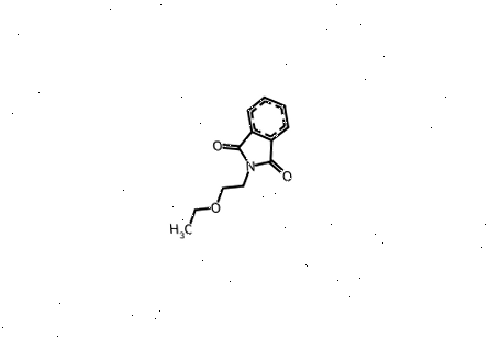 CCOCCN1C(=O)c2ccccc2C1=O